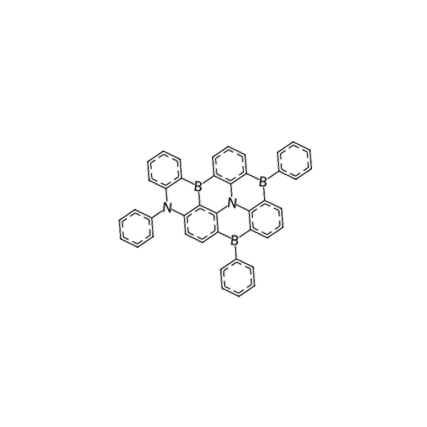 c1ccc(B2c3cccc4c3N3c5c2cccc5B2c5ccccc5N(c5ccccc5)c5ccc(c3c52)B4c2ccccc2)cc1